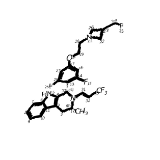 C[C@@H]1Cc2c([nH]c3ccccc23)[C@H](c2c(F)cc(OCCN3CC(CF)C3)cc2F)N1CCC(F)(F)F